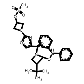 CC(C)(C)C1CN(C(=O)c2coc(N3CC(OS(C)(=O)=O)C3)n2)C1O[SiH](c1ccccc1)c1ccccc1